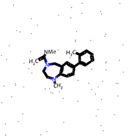 C=C(NC)N1CCN(C)c2ccc(-c3ccccc3C)cc2C1